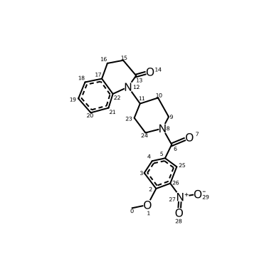 COc1ccc(C(=O)N2CCC(N3C(=O)CCc4ccccc43)CC2)cc1[N+](=O)[O-]